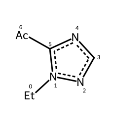 CCn1ncnc1C(C)=O